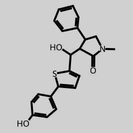 CN1CC(c2ccccc2)C(C(O)c2ccc(-c3ccc(O)cc3)s2)C1=O